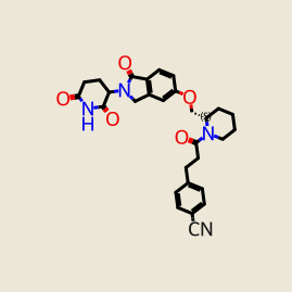 N#Cc1ccc(CCC(=O)N2CCCC[C@H]2COc2ccc3c(c2)CN(C2CCC(=O)NC2=O)C3=O)cc1